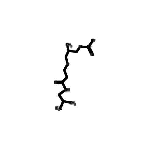 CC(C)CNC(=O)CCOCC(C)CO[N+](=O)[O-]